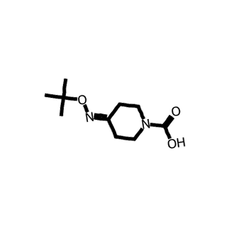 CC(C)(C)ON=C1CCN(C(=O)O)CC1